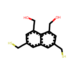 OCc1cc(CS)cc2cc(CS)cc(CO)c12